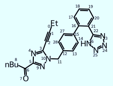 CCC#Cc1nc(C(=O)CCCC)nn1Cc1ccc(-c2ccccc2-c2nnn[nH]2)cc1